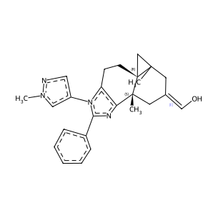 Cn1cc(-n2c(-c3ccccc3)nc3c2CC[C@@]24CC2(C)C/C(=C\O)C[C@]34C)cn1